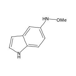 CONc1ccc2[nH]ccc2c1